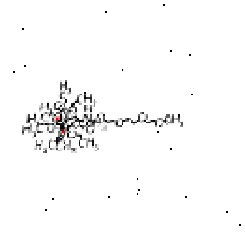 CCO[Si](OCC)(OCC)C(CCNC(=O)OCCOCCOCCOC)([Si](OCC)(OCC)OCC)[Si](OCC)(OCC)OCC